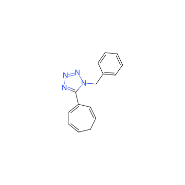 C1=CCC=CC(c2nnnn2Cc2ccccc2)=C1